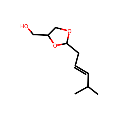 CC(C)C=CCC1OCC(CO)O1